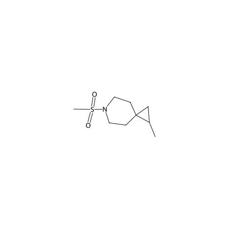 CC1CC12CCN(S(C)(=O)=O)CC2